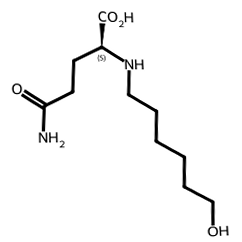 NC(=O)CC[C@H](NCCCCCCO)C(=O)O